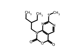 CCC(CC)Cn1c(=O)oc(=O)c2cnc(SC)nc21